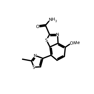 COc1ccc(-c2csc(C)n2)c2sc(C(N)=O)nc12